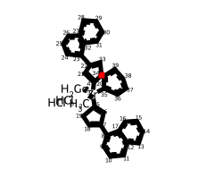 Cl.Cl.[CH3][Zr](=[GeH2])([C]1=CC(c2cccc3ccccc23)=CC1)([C]1=CC(c2cccc3ccccc23)=CC1)[c]1ccccc1